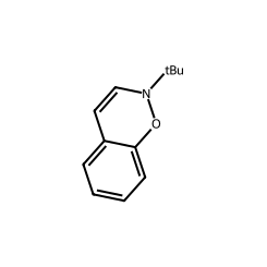 CC(C)(C)N1C=Cc2ccccc2O1